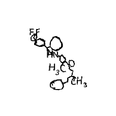 CCC(CCC(=O)c1ccc(N/C2=C/CC/C=C\CCC3C(c4ccc(OC(F)F)cc4)=CN=C23)cc1C)CCC1CCCCCCCC1